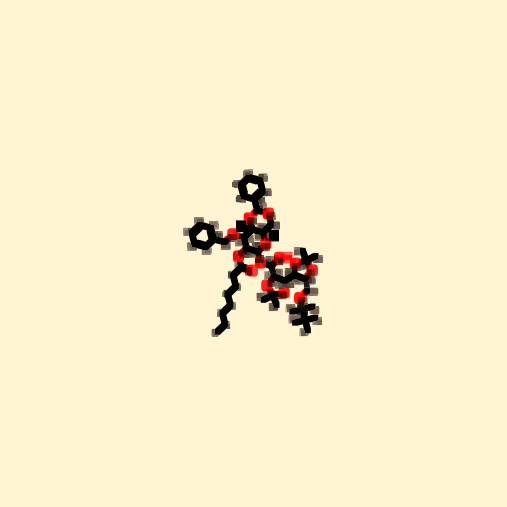 CCCCCCCC(=O)O[C@@H]1[C@H](OC(O)[C@@H]2OC(C)(C)O[C@H]2[C@H]2OC(C)(C)O[C@@H]2CO[Si](C)(C)C(C)(C)C)O[C@@H]2COC(c3ccccc3)O[C@H]2[C@@H]1OCc1ccccc1